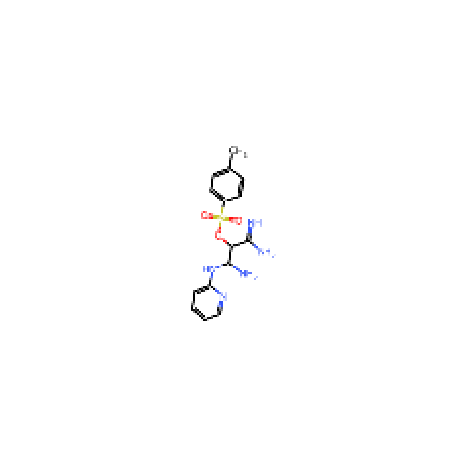 Cc1ccc(S(=O)(=O)OC(C(=N)N)C(N)Nc2ccccn2)cc1